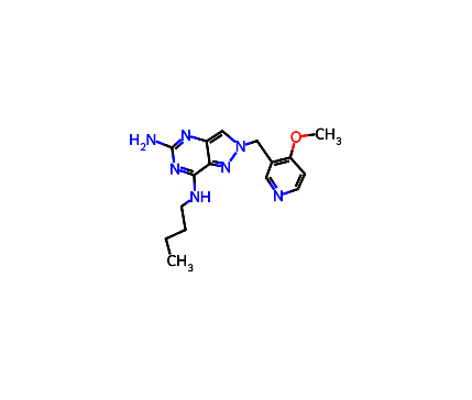 CCCCNc1nc(N)nc2cn(Cc3cnccc3OC)nc12